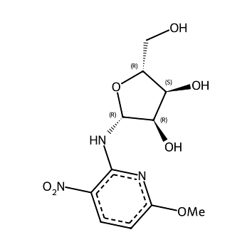 COc1ccc([N+](=O)[O-])c(N[C@@H]2O[C@H](CO)[C@@H](O)[C@H]2O)n1